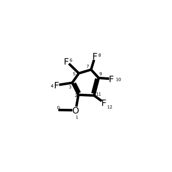 COC1=C(F)C(F)C(F)C(F)=C1F